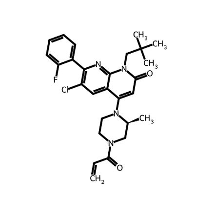 C=CC(=O)N1CCN(c2cc(=O)n(CC(C)(C)C)c3nc(-c4ccccc4F)c(Cl)cc23)[C@@H](C)C1